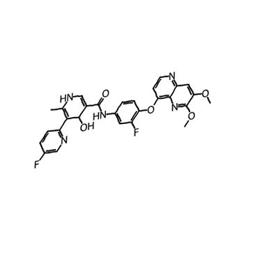 COc1cc2nccc(Oc3ccc(NC(=O)C4=CNC(C)=C(c5ccc(F)cn5)C4O)cc3F)c2nc1OC